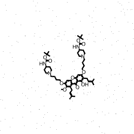 COc1c(OCCCCN2CCC(NC(=O)OC(C)(C)C)CC2)cc2oc3cc(OCCCCN4CCC(NC(=O)OC(C)(C)C)CC4)c(CC=C(C)C)c(O)c3c(=O)c2c1CC=C(C)C